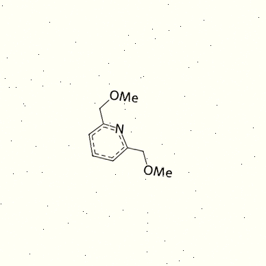 COCc1cccc(COC)n1